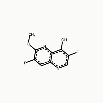 COc1nc2c(O)c(F)cnc2cc1F